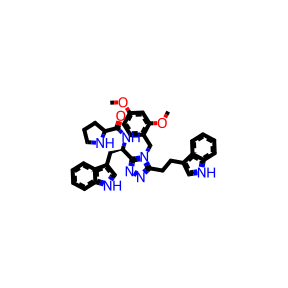 COc1ccc(Cn2c(CCc3c[nH]c4ccccc34)nnc2[C@@H](Cc2c[nH]c3ccccc23)NC(=O)C2CCCN2)c(OC)c1